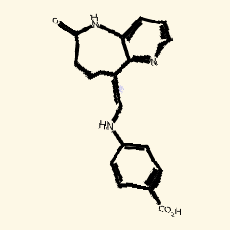 O=C1CC/C(=C\Nc2ccc(C(=O)O)cc2)c2ncccc2N1